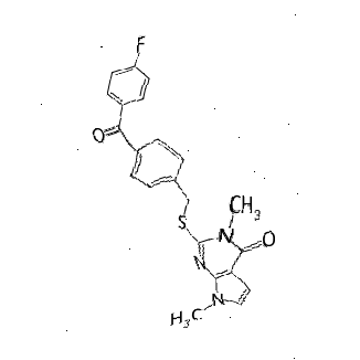 Cn1c(SCc2ccc(C(=O)c3ccc(F)cc3)cc2)nc2c(ccn2C)c1=O